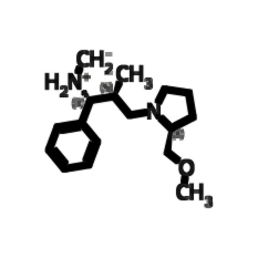 [CH2-][NH2+][C@@H](c1ccccc1)[C@@H](C)CN1CCC[C@H]1COC